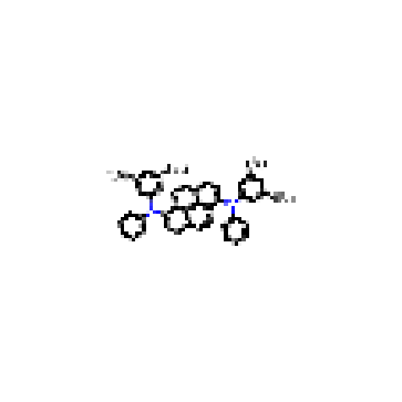 CC(C)(C)c1cc(N(c2ccccc2)c2ccc3ccc4c(N(c5ccccc5)c5cc(C(C)(C)C)cc(C(C)(C)C)c5)ccc5ccc2c3c54)cc(C(C)(C)C)c1